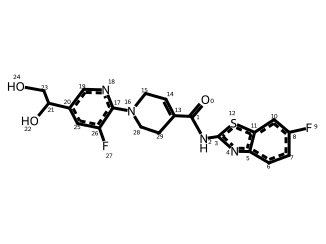 O=C(Nc1nc2ccc(F)cc2s1)C1=CCN(c2ncc(C(O)CO)cc2F)CC1